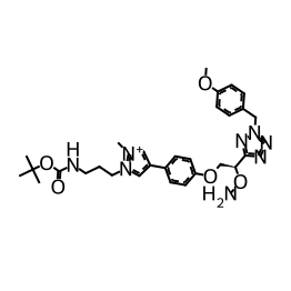 COc1ccc(Cn2nnc([C@H](COc3ccc(-c4cn(CCCNC(=O)OC(C)(C)C)[n+](C)c4)cc3)ON)n2)cc1